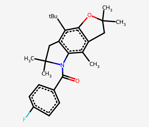 Cc1c2c(c(C(C)(C)C)c3c1N(C(=O)c1ccc(F)cc1)C(C)(C)C3)OC(C)(C)C2